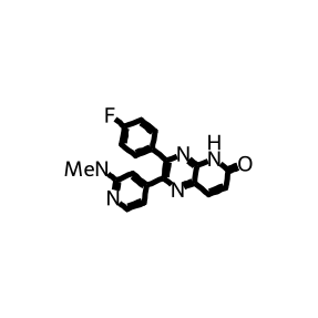 CNc1cc(-c2nc3ccc(=O)[nH]c3nc2-c2ccc(F)cc2)ccn1